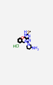 CSc1nc2nc(N3CCCC(N)C3)n(Cc3ccccc3)c2c(=O)[nH]1.Cl